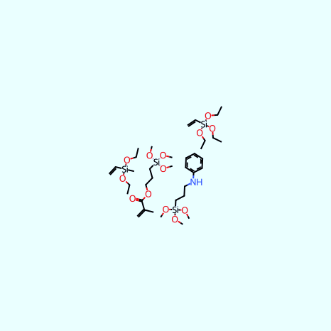 C=C(C)C(=O)OCCC[Si](OC)(OC)OC.C=C[Si](C)(OCC)OCC.C=C[Si](OCC)(OCC)OCC.CO[Si](CCCNc1ccccc1)(OC)OC